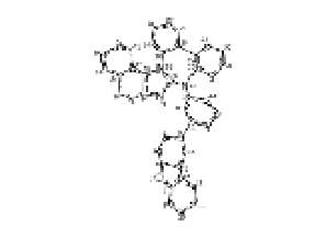 c1cc(-c2ccc3oc4ccccc4c3c2)cc(N2c3ccccc3-c3ccccc3-n3c2nc2ccc4ccccc4c23)c1